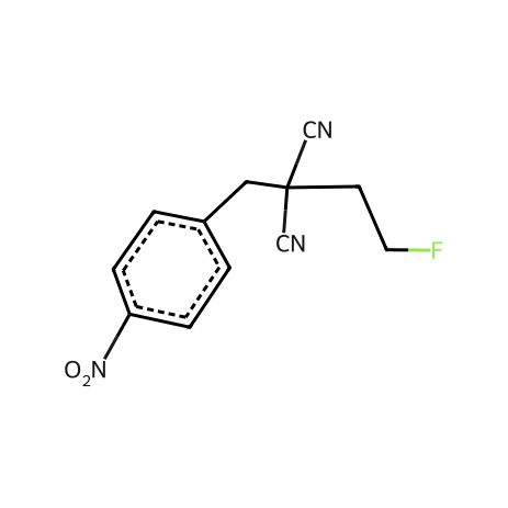 N#CC(C#N)(CCF)Cc1ccc([N+](=O)[O-])cc1